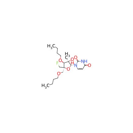 CCCCOC[C@@]1(CF)O[C@@H](n2ccc(=O)[nH]c2=O)[C@](C)(O)[C@@H]1OCCCC